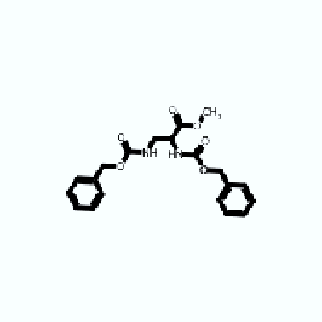 COC(=O)C(CNC(=O)OCc1ccccc1)NC(=O)OCc1ccccc1